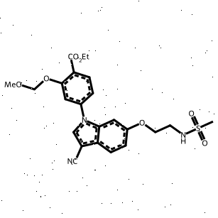 CCOC(=O)c1ccc(-n2cc(C#N)c3ccc(OCCNS(C)(=O)=O)cc32)cc1OCOC